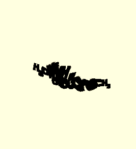 COCc1ccc(C=C2CCN(C(=O)Nc3nc(C)ns3)CC2)c(F)c1